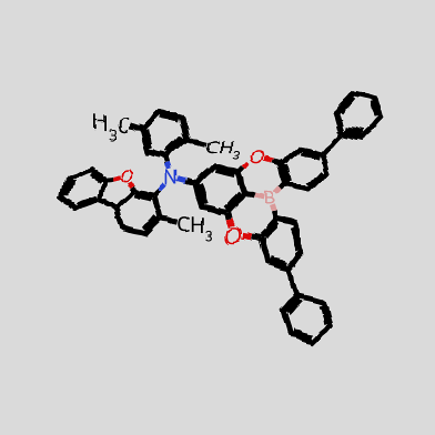 CC1=CCC2C(=C1N(c1cc3c4c(c1)Oc1cc(-c5ccccc5)ccc1B4c1ccc(-c4ccccc4)cc1O3)c1cc(C)ccc1C)Oc1ccccc12